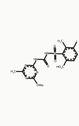 COc1nc(C)nc(NC(=O)NS(=O)(=O)c2c(C(=O)O)ccc(I)c2C)n1